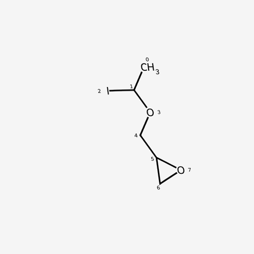 CC(I)OCC1CO1